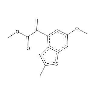 C=C(C(=O)OC)c1cc(OC)cc2sc(C)nc12